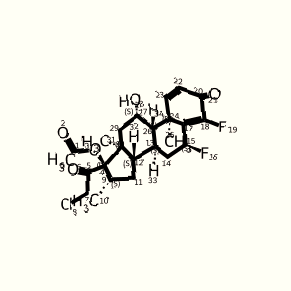 CC(=O)O[C@]1(C(=O)CCl)[C@@H](C)C[C@H]2[C@@H]3C[C@H](F)C4=C(F)C(=O)C=C[C@]4(C)[C@H]3[C@@H](O)C[C@@]21C